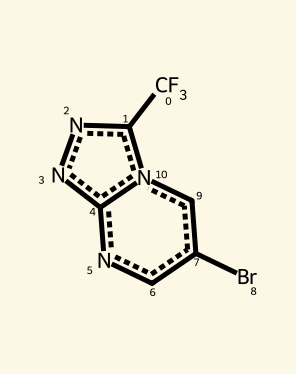 FC(F)(F)c1nnc2ncc(Br)cn12